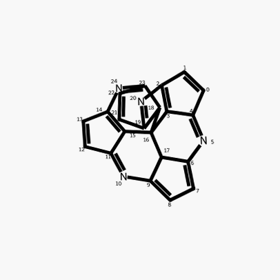 C1=CC2=C3C1=NC1=CC=C4N=C5C=CC6=C5C3(C14)C1C(=N2)C=CC1=N6